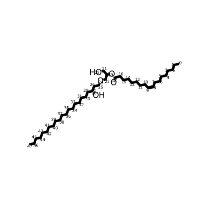 CCCCCCCC/C=C\CCCCCCCC(=O)OC(CO)COCCC(O)CCCCCCCCCCCCCCCCCCC